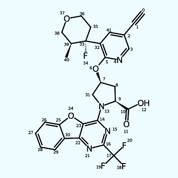 C#Cc1cnc(O[C@H]2C[C@@H](C(=O)O)N(c3nc(C(F)(F)F)nc4c3oc3ccccc34)C2)c([C@]2(F)CCOC[C@@H]2C)c1